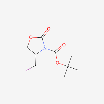 CC(C)(C)OC(=O)N1C(=O)OCC1CI